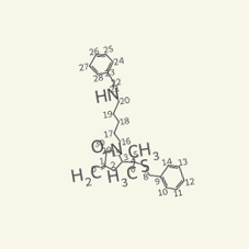 C=C1CC(C(C)(C)SCc2ccccc2)N(CCCCCNCc2ccccc2)C1=O